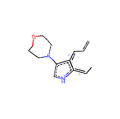 C=C/C=c1/c(N2CCOCC2)c[nH]/c1=C/C